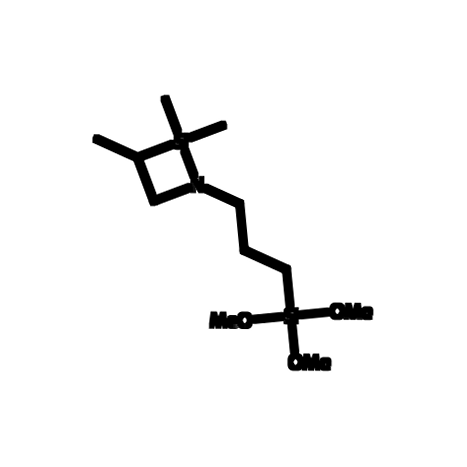 CO[Si](CCCN1CC(C)[Si]1(C)C)(OC)OC